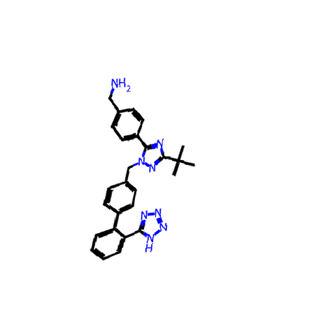 CC(C)(C)c1nc(-c2ccc(CN)cc2)n(Cc2ccc(-c3ccccc3-c3nnn[nH]3)cc2)n1